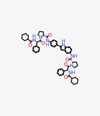 O=C(N[C@@H](C(=O)N1CCC[C@H]1C(=O)Nc1ccc(-c2cc3cc(NC(=O)[C@@H]4CCCN4C(=O)[C@H](NC(=O)C4CCCCC4)c4ccccc4)ccc3[nH]2)cc1)c1ccccc1)C1CCCCC1